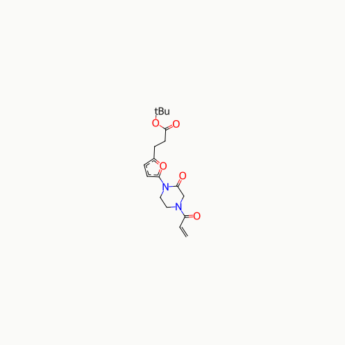 C=CC(=O)N1CCN(c2ccc(CCC(=O)OC(C)(C)C)o2)C(=O)C1